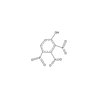 O=P(=O)c1ccc(O)c(P(=O)=O)c1P(=O)=O